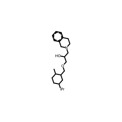 CC(C)C1CCC(C)C(COCC(O)CN2CCc3ccccc3C2)C1